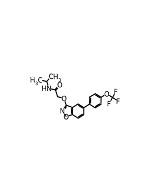 CC(C)NC(=O)COc1noc2ccc(-c3ccc(OC(F)(F)F)cc3)cc12